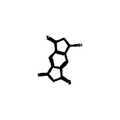 S=C1CC(=S)c2cc3c(cc21)C(=S)CC3S